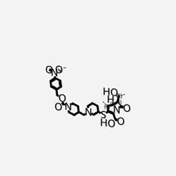 C[C@@H](O)[C@H]1C(=O)N2C(C(=O)O)=C(SC3CCCN(CC4CCN(C(=O)OCc5ccc([N+](=O)[O-])cc5)CC4)C3)[C@H](C)[C@H]12